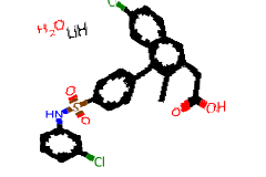 Cc1c(CC(=O)O)cc2ccc(Cl)cc2c1-c1ccc(S(=O)(=O)Nc2cccc(Cl)c2)cc1.O.[LiH]